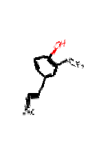 CC(=O)/C=C/c1ccc(O)c(C(F)(F)F)c1